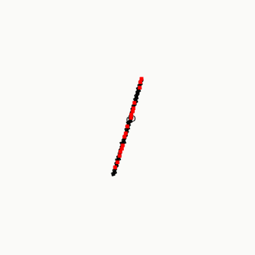 CCCCCCCCC=CCCCCCCCCCCCCCC(=O)OCCCCCCCCCCCCCCCCCCCCCCCCCCCCCCCCC